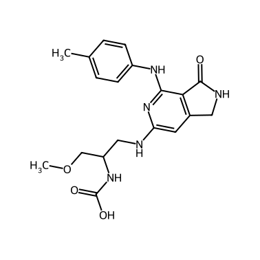 COCC(CNc1cc2c(c(Nc3ccc(C)cc3)n1)C(=O)NC2)NC(=O)O